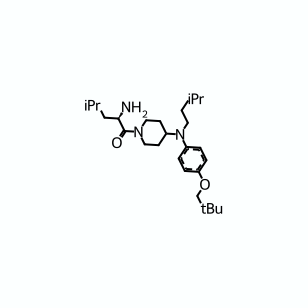 CC(C)CCN(c1ccc(OCC(C)(C)C)cc1)C1CCN(C(=O)[C@H](N)CC(C)C)CC1